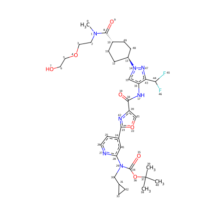 CN(CCOCCO)C(=O)[C@H]1CC[C@H](n2cc(NC(=O)c3coc(-c4ccnc(N(CC5CC5)C(=O)OC(C)(C)C)c4)n3)c(C(F)F)n2)CC1